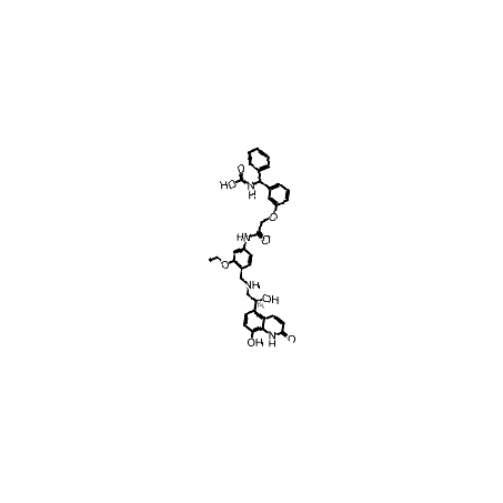 CCOc1cc(NC(=O)COc2cccc(C(NC(=O)O)c3ccccc3)c2)ccc1CNC[C@@H](O)c1ccc(O)c2[nH]c(=O)ccc12